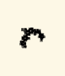 Cc1cc(C2=N[C@@H](C(C)C)CO2)ncc1-c1cc2cc(NC(=O)C3CC3c3cnn(C)c3)ncc2c(N)n1